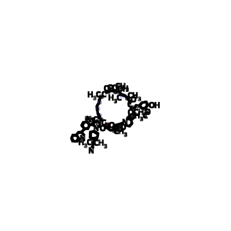 CO[C@@H]1C[C@@H](CC(C)[C@@H]2CC(=O)[C@H](C)/C=C(\C)[C@@H](O)[C@@H](OC)C(=O)[C@H](C)C[C@H](C)/C=C/C=C/C=C(/C)[C@H](n3c(=O)n(-c4ccc(C(C)(C)C#N)cc4)c4c5cc(-c6cnc7ccccc7c6)ccc5ncc43)C[C@@H]3CC[C@@H](C)[C@@](O)(O3)C(=O)C(=O)N3CCCC[C@H]3C(=O)O2)CC[C@H]1O